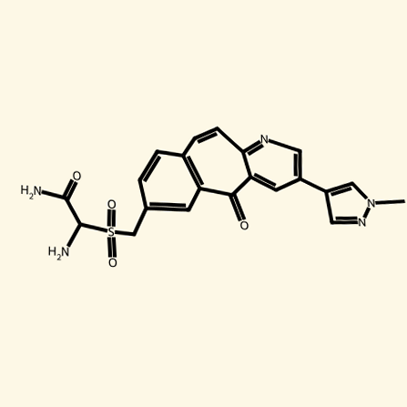 Cn1cc(-c2cnc3ccc4ccc(CS(=O)(=O)C(N)C(N)=O)cc4c(=O)c3c2)cn1